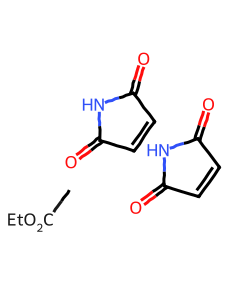 CCOC(C)=O.O=C1C=CC(=O)N1.O=C1C=CC(=O)N1